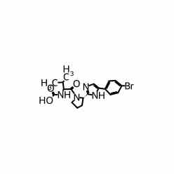 CC(C)C(NC(=O)O)C(=O)N1CCC[C@H]1c1ncc(-c2ccc(Br)cc2)[nH]1